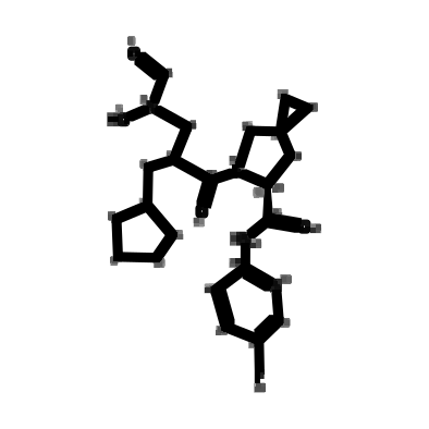 O=CN(O)CC(CC1CCCC1)C(=O)N1CC2(CC2)C[C@H]1C(=O)Nc1ccc(F)cn1